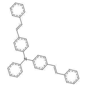 C(=C\c1ccc(N(c2ccccc2)c2ccc(/C=C/c3ccccc3)cc2)cc1)/c1ccccc1